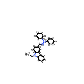 CC(C)Cn1c2ccccc2c2cc(C=NN(c3ccccc3)c3ccccc3)ccc21